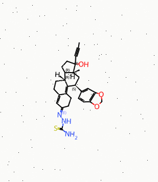 CC#C[C@@]1(O)CC[C@@H]2[C@H]3CCC4=C/C(=N/NC(N)=S)CCC4=C3[C@H](c3ccc4c(c3)OCO4)C[C@]21C